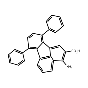 Nc1c(C(=O)O)cc2c3c(cccc13)-c1c(-c3ccccc3)ccc(-c3ccccc3)c1-2